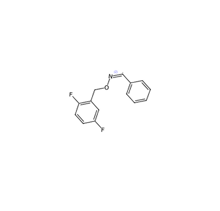 Fc1ccc(F)c(CO/N=[C]\c2ccccc2)c1